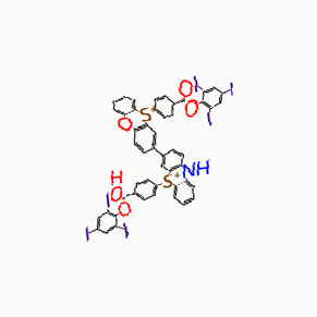 O=C(Oc1c(I)cc(I)cc1I)c1ccc([S+]2c3ccccc3Oc3ccc(-c4ccc5c(c4)[S+](c4ccc(C(O)Oc6c(I)cc(I)cc6I)cc4)c4ccccc4N5)cc32)cc1